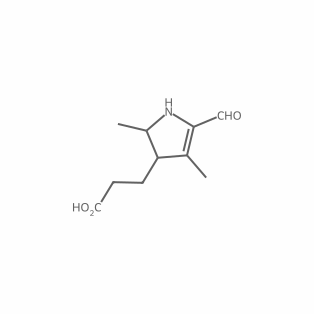 CC1=C(C=O)NC(C)C1CCC(=O)O